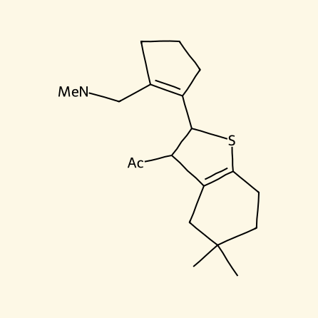 CNCC1=C(C2SC3=C(CC(C)(C)CC3)C2C(C)=O)CCC1